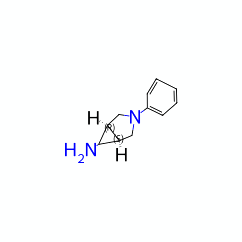 NC1[C@H]2CN(c3ccccc3)C[C@@H]12